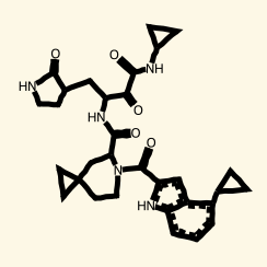 O=C(NC1CC1)C(=O)C(CC1CCNC1=O)NC(=O)C1CC2(CCN1C(=O)c1cc3c(C4CC4)cccc3[nH]1)CC2